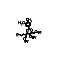 Cc1ccc(C2O[C@H]([C@H](CCC(C)C)COC(C)C)[C@H](OC(C)C)[C@H](COC(C)C)O2)cc1C